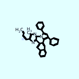 C=C/C=C\c1nc2c3cc4ccccc4cc3c3c(-c4ccccc4)cc(-c4ccccc4)n3c2nc1C